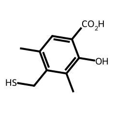 Cc1cc(C(=O)O)c(O)c(C)c1CS